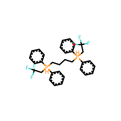 FC(F)(F)C[PH](CCCC[PH](CC(F)(F)F)(c1ccccc1)c1ccccc1)(c1ccccc1)c1ccccc1